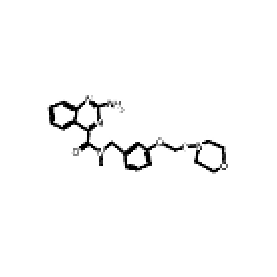 CN(Cc1cccc(OCCN2CCOCC2)c1)C(=O)c1nc(N)nc2ccccc12